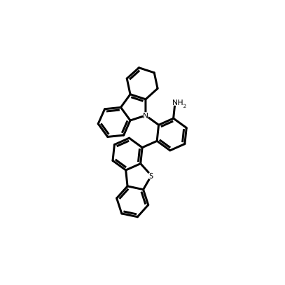 Nc1cccc(-c2cccc3c2sc2ccccc23)c1-n1c2c(c3ccccc31)C=CCC2